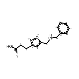 O=C(O)CCc1cc(CNCc2ccccc2)on1